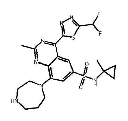 Cc1nc(-c2nnc(C(F)F)s2)c2cc(S(=O)(=O)NC3(C)CC3)cc(N3CCCNCC3)c2n1